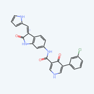 O=C1Nc2cc(NC(=O)c3c[nH]cc(-c4cccc(Cl)c4)c3=O)ccc2/C1=C/c1ccc[nH]1